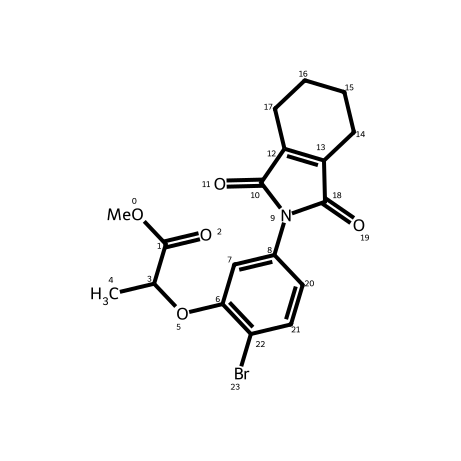 COC(=O)C(C)Oc1cc(N2C(=O)C3=C(CCCC3)C2=O)ccc1Br